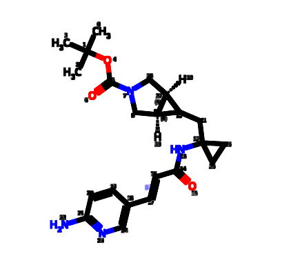 CC(C)(C)OC(=O)N1C[C@@H]2C(CC3(NC(=O)/C=C/c4ccc(N)nc4)CC3)[C@@H]2C1